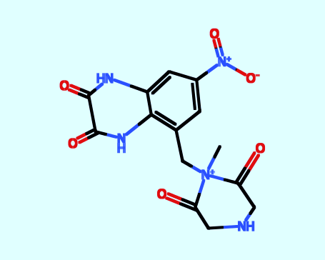 C[N+]1(Cc2cc([N+](=O)[O-])cc3[nH]c(=O)c(=O)[nH]c23)C(=O)CNCC1=O